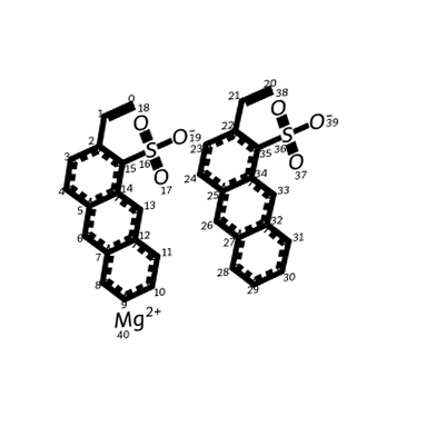 C=Cc1ccc2cc3ccccc3cc2c1S(=O)(=O)[O-].C=Cc1ccc2cc3ccccc3cc2c1S(=O)(=O)[O-].[Mg+2]